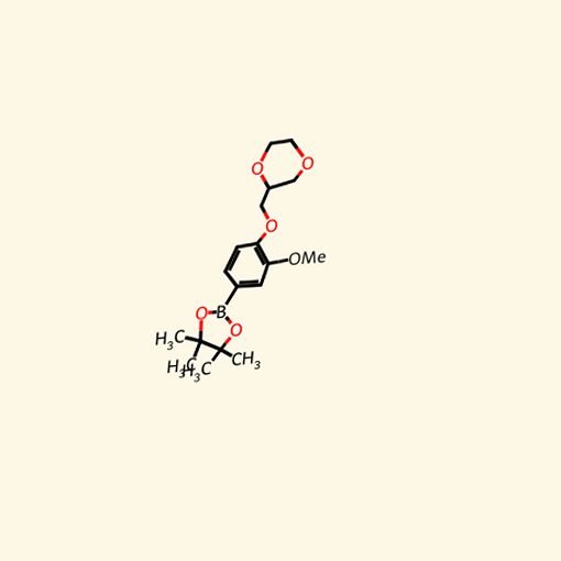 COc1cc(B2OC(C)(C)C(C)(C)O2)ccc1OCC1COCCO1